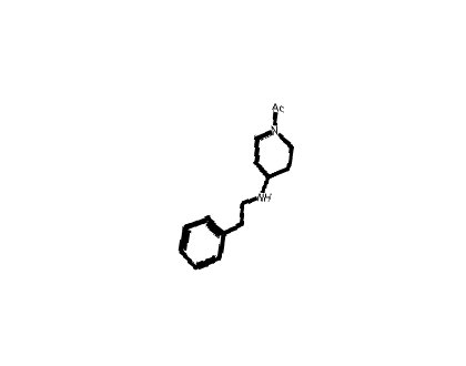 CC(=O)N1CCC(NCCc2ccccc2)CC1